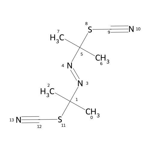 CC(C)(N=NC(C)(C)SC#N)SC#N